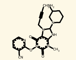 CC#CCN1c2c(n(C)c(=O)n(Oc3ncccc3C#N)c2=O)NC1N1CCCC(N)C1